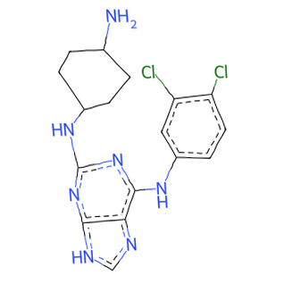 NC1CCC(Nc2nc(Nc3ccc(Cl)c(Cl)c3)c3nc[nH]c3n2)CC1